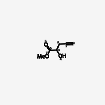 [C]#CCC(O)C(=O)OC